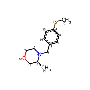 CSc1ccc(CN2CCOC[C@@H]2C)cc1